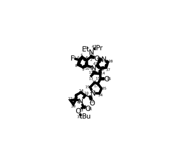 CCN(C(=O)c1cc(F)ccc1-n1c(C)c(C(=O)C2CCN(C(=O)[C@@H]3CCC4(CC4)N3C(=O)OC(C)(C)C)CC2)c2ccncc21)C(C)C